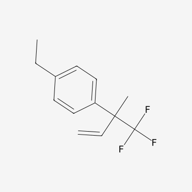 C=CC(C)(c1ccc(CC)cc1)C(F)(F)F